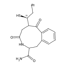 CC(C)C[C@H](S)C1CC(=O)NC(C(N)=O)Cc2ccccc2C1=O